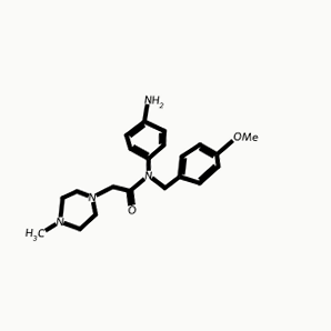 COc1ccc(CN(C(=O)CN2CCN(C)CC2)c2ccc(N)cc2)cc1